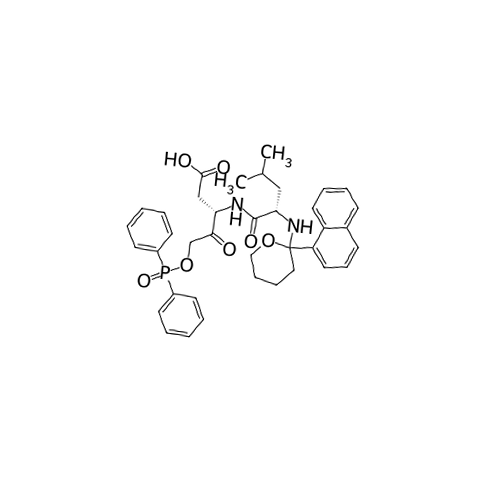 CC(C)C[C@H](NC1(c2cccc3ccccc23)CCCCO1)C(=O)N[C@@H](CC(=O)O)C(=O)COP(=O)(c1ccccc1)c1ccccc1